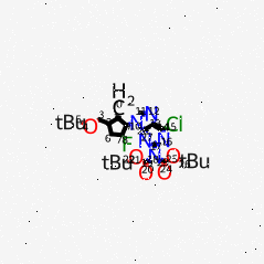 C=C1C(COC(C)(C)C)CC(F)C1n1cnc2c(Cl)nc(N(C(=O)OC(C)(C)C)C(=O)OC(C)(C)C)nc21